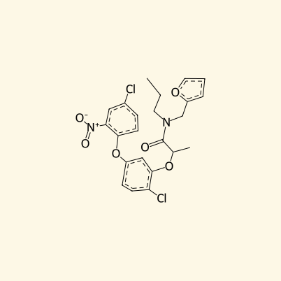 CCCN(Cc1ccco1)C(=O)C(C)Oc1cc(Oc2ccc(Cl)cc2[N+](=O)[O-])ccc1Cl